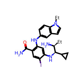 CC[C@H](N)[C@H](Nc1cc(Nc2ccc3c(ccn3CC)c2)c(C(N)=O)cc1I)C1CC1